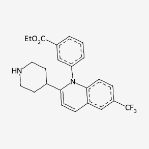 CCOC(=O)c1cccc(N2C(C3CCNCC3)=C=Cc3cc(C(F)(F)F)ccc32)c1